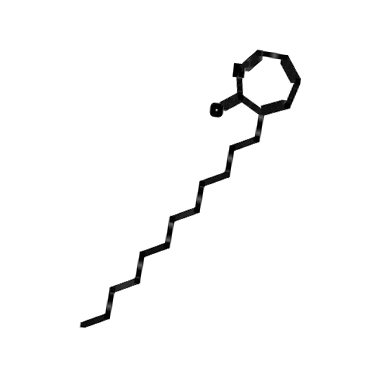 CCCCCCCCCCCCc1ccccnc1=O